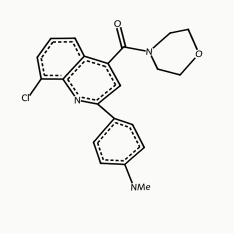 CNc1ccc(-c2cc(C(=O)N3CCOCC3)c3cccc(Cl)c3n2)cc1